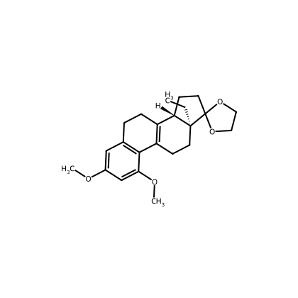 CC[C@]12CCC3=C(CCc4cc(OC)cc(OC)c43)[C@@H]1CCC21OCCO1